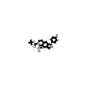 CC(C)(C)OC(=O)N1CCC2=Cc3c(cnn3-c3ccc(F)cc3)C[C@]2(CO)C1